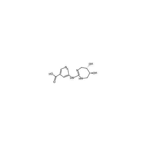 O=C(O)c1cncc(NC2=NC[C@H](O)[C@@H](O)CN2)c1